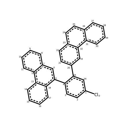 Clc1ccc(-c2cc3ccccc3c3ccccc23)c(-c2ccc3ccc4ccccc4c3c2)c1